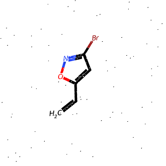 C=Cc1cc(Br)no1